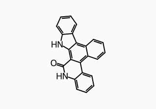 O=c1[nH]c2ccccc2c2c3ccccc3c3c4ccccc4[nH]c3c12